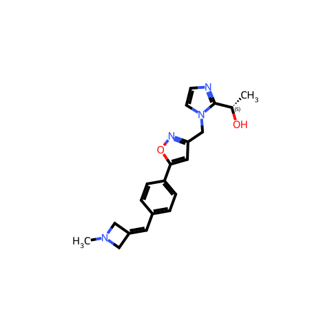 C[C@H](O)c1nccn1Cc1cc(-c2ccc(C=C3CN(C)C3)cc2)on1